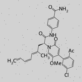 C=C/C=C\C=C(/C)C[C@@H](C(=O)Nc1ccc(C(N)=O)cc1)n1cc(OC)c(-c2cc(Cl)ccc2C(C)=O)cc1=O